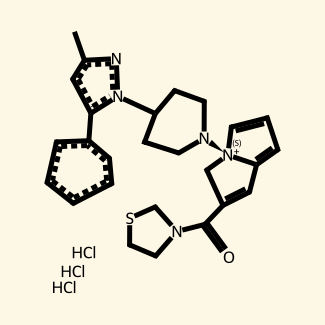 Cc1cc(-c2ccccc2)n(C2CCN([N@@+]34C=CC=C3C=C(C(=O)N3CCSC3)C4)CC2)n1.Cl.Cl.Cl